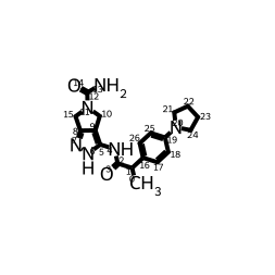 CC(C(=O)Nc1[nH]nc2c1CN(C(N)=O)C2)c1ccc(N2CCCC2)cc1